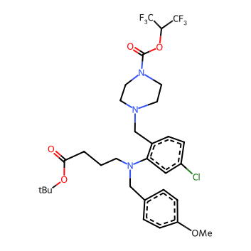 COc1ccc(CN(CCCC(=O)OC(C)(C)C)c2cc(Cl)ccc2CN2CCN(C(=O)OC(C(F)(F)F)C(F)(F)F)CC2)cc1